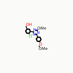 COCOc1ccc(-c2nc(OC)nc(-c3cc(CO)ccc3Cl)n2)cc1